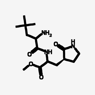 COC(=O)C(C[C@@H]1CCNC1=O)NC(=O)C(N)CC(C)(C)C